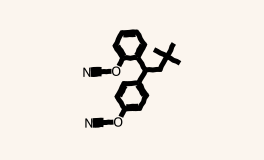 CC(C)(C)CC(c1ccc(OC#N)cc1)c1ccccc1OC#N